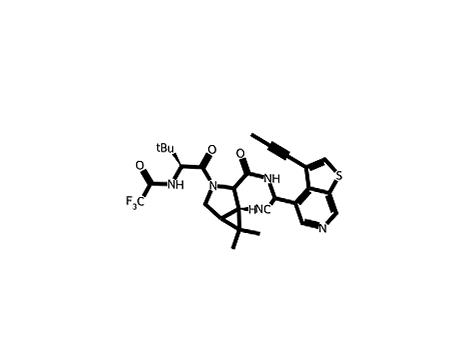 CC#Cc1csc2cncc(C(C#N)NC(=O)C3[C@H]4C(CN3C(=O)[C@@H](NC(=O)C(F)(F)F)C(C)(C)C)C4(C)C)c12